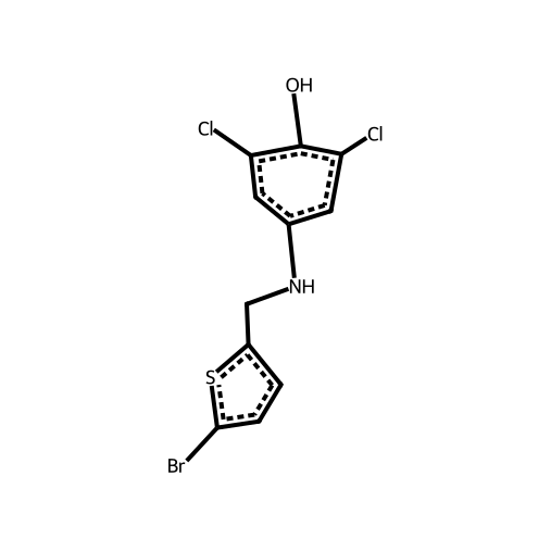 Oc1c(Cl)cc(NCc2ccc(Br)s2)cc1Cl